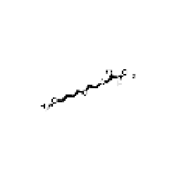 CNC(=O)COCCOCCCCOC